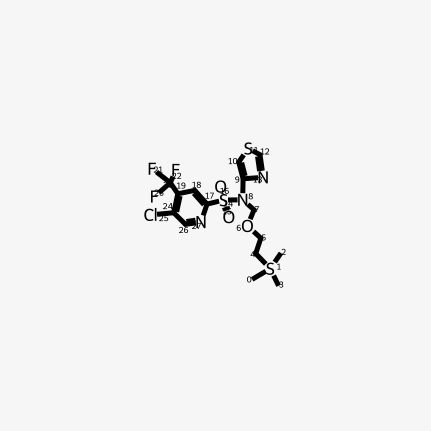 CS(C)(C)CCOCN(c1cscn1)S(=O)(=O)c1cc(C(F)(F)F)c(Cl)cn1